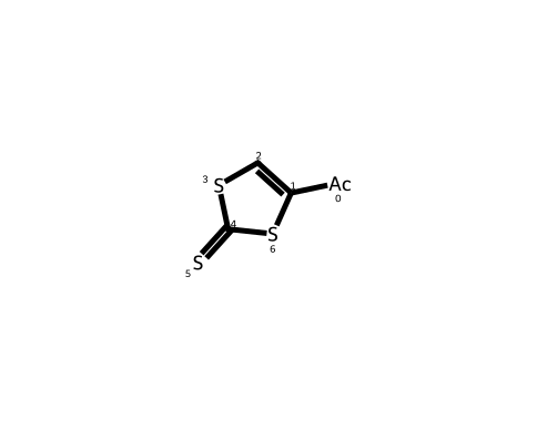 CC(=O)c1csc(=S)s1